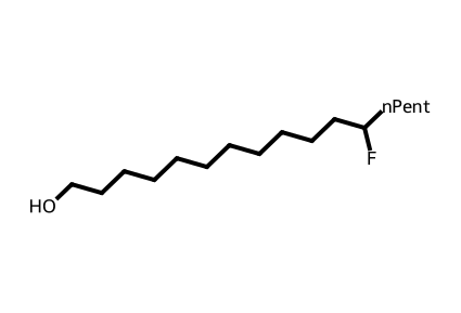 CCCCCC(F)CCCCCCCCCCCO